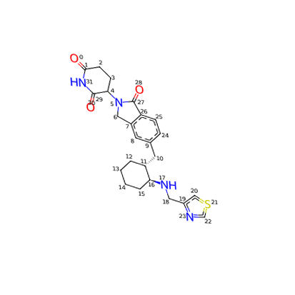 O=C1CCC(N2Cc3cc(C[C@H]4CCCC[C@@H]4NCc4cscn4)ccc3C2=O)C(=O)N1